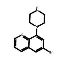 Brc1cc(N2CCNCC2)c2ncccc2c1